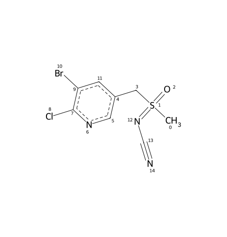 CS(=O)(Cc1cnc(Cl)c(Br)c1)=NC#N